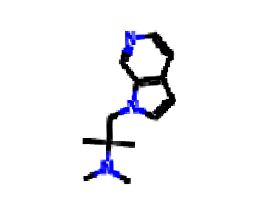 CN(C)C(C)(C)Cn1ccc2ccncc21